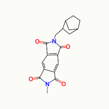 Cn1c(=O)c2cc3c(=O)n(CC4CC5CCC4C5)c(=O)c3cc2c1=O